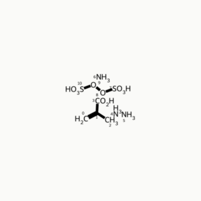 C=C(C)C(=O)O.N.N.N.O=S(=O)(O)OOS(=O)(=O)O